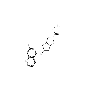 CC(C)(C)OC(=O)N1CC2CC(Nc3nc(Cl)cc4ncccc34)CC2C1